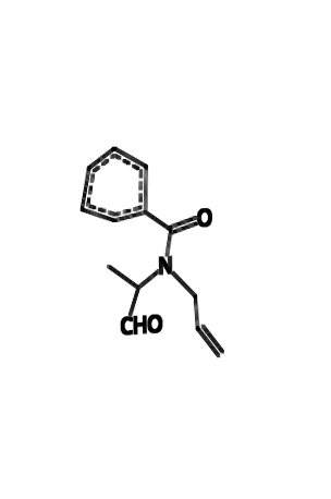 C=CCN(C(=O)c1ccccc1)C(C)C=O